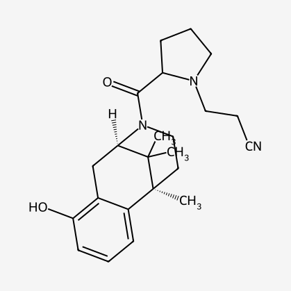 CC1(C)[C@H]2Cc3c(O)cccc3[C@]1(C)CCN2C(=O)C1CCCN1CCC#N